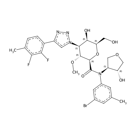 CO[C@@H]1[C@@H](n2cc(-c3ccc(C)c(F)c3F)nn2)[C@@H](O)[C@@H](CO)O[C@H]1C(=O)N(c1cc(C)cc(Br)c1)[C@H]1COC[C@@H]1O